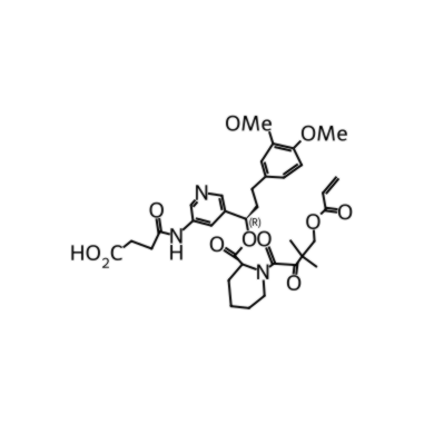 C=CC(=O)OCC(C)(C)C(=O)C(=O)N1CCCCC1C(=O)O[C@H](CCc1ccc(OC)c(OC)c1)c1cncc(NC(=O)CCC(=O)O)c1